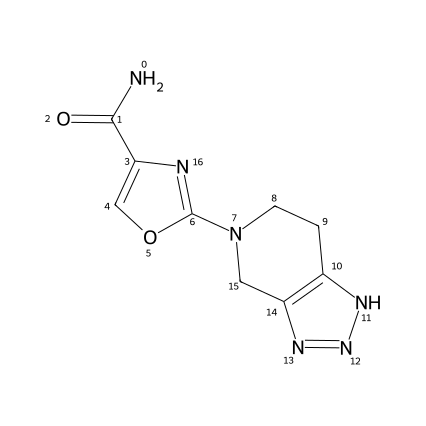 NC(=O)c1coc(N2CCc3[nH]nnc3C2)n1